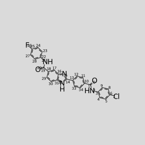 O=C(Nc1ccc(Cl)cc1)c1ccc(-c2nc3cc(C(=O)Nc4ccc(F)cc4)ccc3[nH]2)cc1